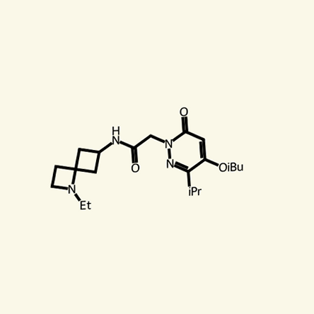 CCN1CCC12CC(NC(=O)Cn1nc(C(C)C)c(OCC(C)C)cc1=O)C2